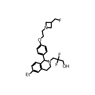 CCc1ccc2c(c1)CCN(CC(F)(F)CO)C2c1ccc(OCCN2CC(CF)C2)cc1